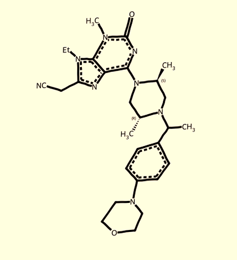 CCn1c(CC#N)nc2c(N3C[C@@H](C)N(C(C)c4ccc(N5CCOCC5)cc4)C[C@@H]3C)nc(=O)n(C)c21